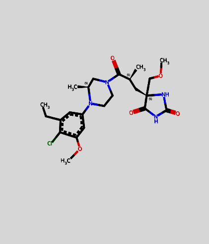 CCc1cc(N2CCN(C(=O)[C@@H](C)C[C@@]3(COC)NC(=O)NC3=O)C[C@@H]2C)cc(OC)c1Cl